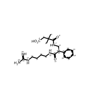 CC(C)(CC(=O)O)C(=O)NC[C@H](C(=O)NCCCCNC(=N)N)c1ccccc1